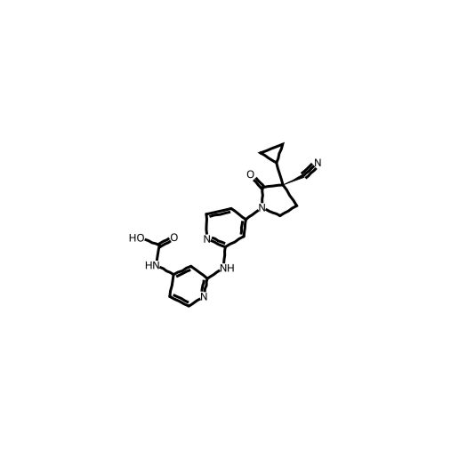 N#C[C@@]1(C2CC2)CCN(c2ccnc(Nc3cc(NC(=O)O)ccn3)c2)C1=O